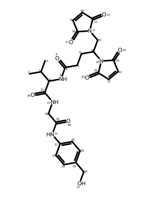 CC(C)C(NC(=O)CCC(CN1C(=O)C=CC1=O)N1C(=O)C=CC1=O)C(=O)NCC(=O)Nc1ccc(CO)cc1